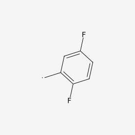 [CH2]c1cc(F)ccc1F